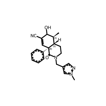 C[C@@H]1C(O)C(C#N)=C[C@]2(c3ccccc3)C(=O)N(Cc3cnn(C)c3)CC[C@@H]12